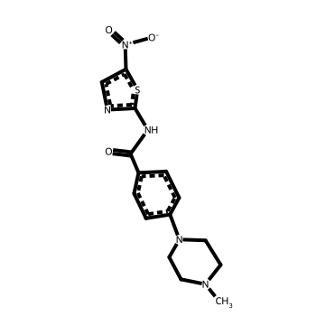 CN1CCN(c2ccc(C(=O)Nc3ncc([N+](=O)[O-])s3)cc2)CC1